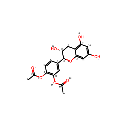 CC(=O)Oc1ccc(C2Oc3cc(O)cc(O)c3C[C@H]2O)cc1OC(C)=O